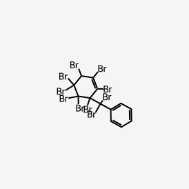 BrC1=C(Br)C(Br)(C(Br)(Br)c2ccccc2)C(Br)(Br)C(Br)(Br)C1Br